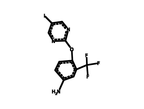 Nc1ccc(Oc2ncc(I)cn2)c(C(F)(F)F)c1